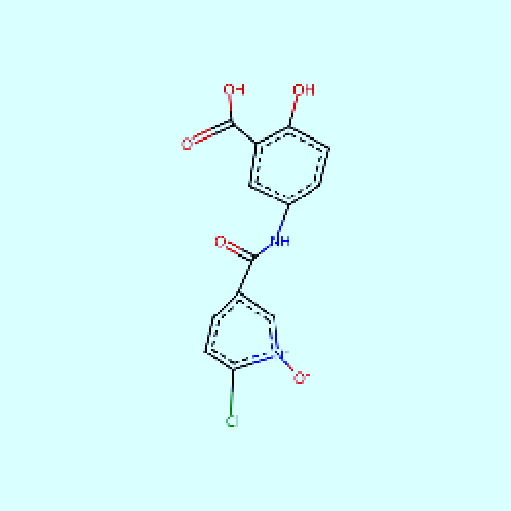 O=C(Nc1ccc(O)c(C(=O)O)c1)c1ccc(Cl)[n+]([O-])c1